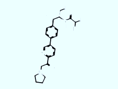 O=C(CN1CCCC1)c1ccc(-c2ccc([C@H](O)[C@@H](CF)NC(=O)C(F)F)cc2)cn1